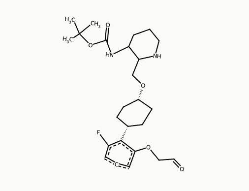 CC(C)(C)OC(=O)NC1CCCNC1CO[C@H]1CC[C@@H](c2c(F)cccc2OCC=O)CC1